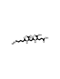 [N-]=[N+]=NCCCC(=O)NC(CC(=O)NC(CCC(=O)O)C(=O)O)C(=O)O